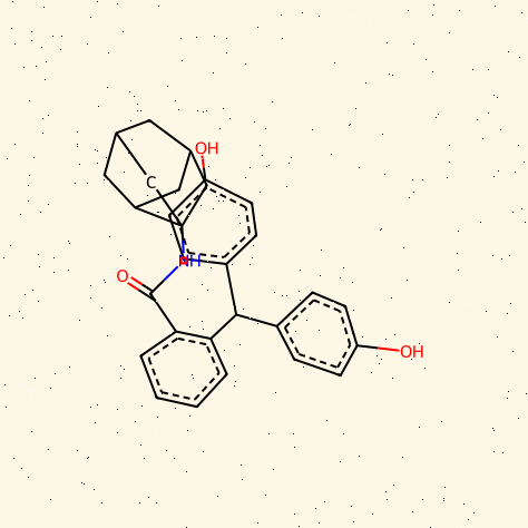 O=C(NC12CC3CC(CC1C3)C2)c1ccccc1C(c1ccc(O)cc1)c1ccc(O)cc1